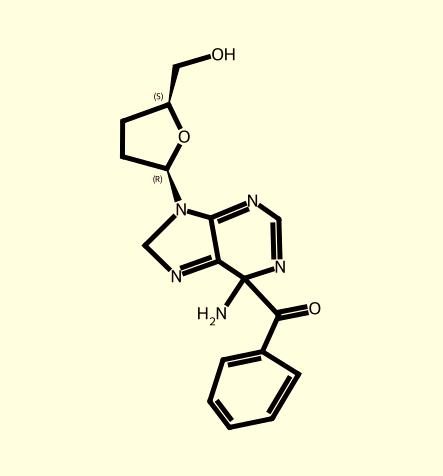 NC1(C(=O)c2ccccc2)N=CN=C2C1=NCN2[C@H]1CC[C@@H](CO)O1